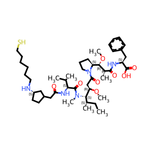 CC[C@H](C)[C@@H]([C@@H](CC(=O)N1CCC[C@H]1[C@H](OC)[C@@H](C)C(=O)N[C@@H](Cc1ccccc1)C(=O)O)OC)N(C)C(=O)[C@@H](NC(=O)CC1CC[C@H](NCCCCCCS)C1)C(C)C